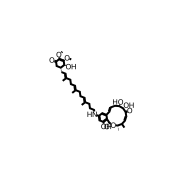 COC1=C(OC)[C@H](O)[C@H](C/C=C(\C)CC/C=C(\C)CC/C=C(\C)CCCNc2cc(O)c3c(c2)/C=C/C[C@H](O)[C@H](O)C(=O)/C=C\C(C)[C@H](C)OC3=O)CC1=O